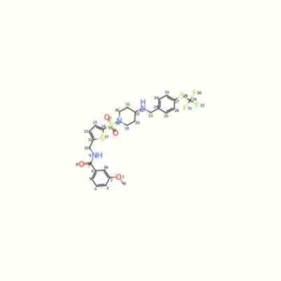 COc1cccc(C(=O)NCc2ccc(S(=O)(=O)N3CCC(NCc4ccc(SC(F)(F)F)cc4)CC3)s2)c1